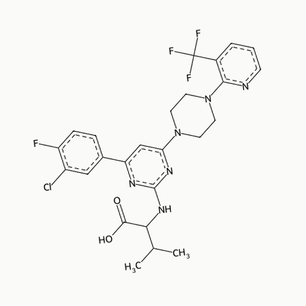 CC(C)C(Nc1nc(-c2ccc(F)c(Cl)c2)cc(N2CCN(c3ncccc3C(F)(F)F)CC2)n1)C(=O)O